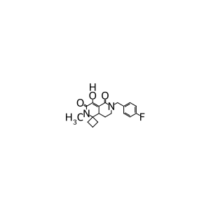 CN1C(=O)C(O)=C2C(=O)N(Cc3ccc(F)cc3)CCC2C12CCC2